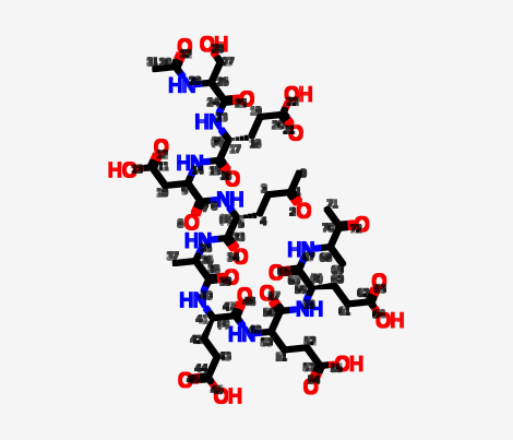 CC(=O)CC[C@@H](NC(=O)C(CC(=O)O)NC(=O)[C@@H](CCC(=O)O)NC(=O)C(CO)NC(C)=O)C(=O)NC(C)C(=O)N[C@H](CCC(=O)O)C(=O)NC(CCC(=O)O)C(=O)N[C@H](CCC(=O)O)C(=O)NC(C)C(C)=O